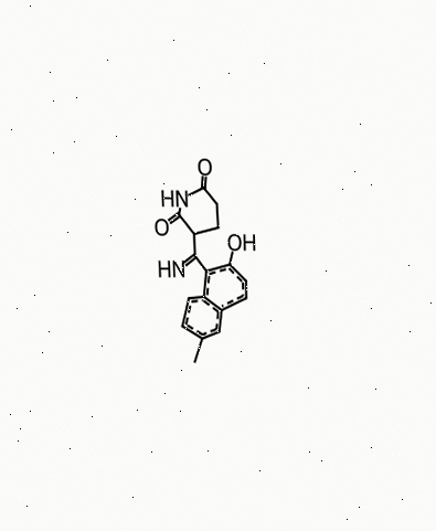 Cc1ccc2c(C(=N)C3CCC(=O)NC3=O)c(O)ccc2c1